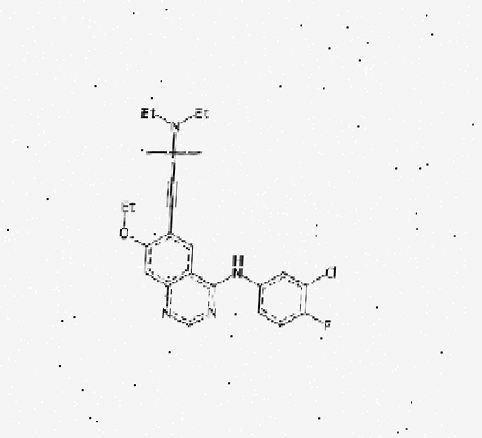 CCOc1cc2ncnc(Nc3ccc(F)c(Cl)c3)c2cc1C#CC(C)(C)N(CC)CC